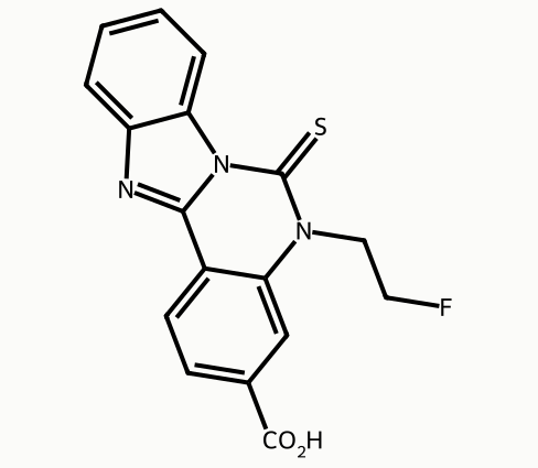 O=C(O)c1ccc2c(c1)n(CCF)c(=S)n1c3ccccc3nc21